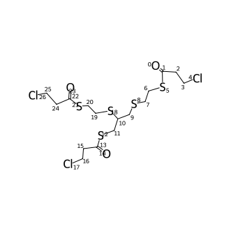 O=C(CCCl)SCCSCC(CSC(=O)CCCl)SCCSC(=O)CCCl